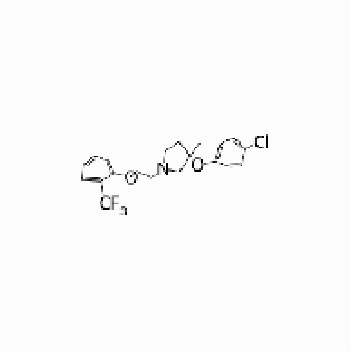 CC1(Oc2ccc(Cl)cc2)CCN(CCOc2ccccc2C(F)(F)F)C1